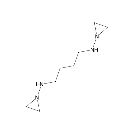 C(CCNN1CC1)CNN1CC1